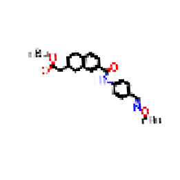 CCCCON=Cc1ccc(NC(=O)c2ccc3c(c2)CC(CC(=O)OCCCC)CC3)cc1